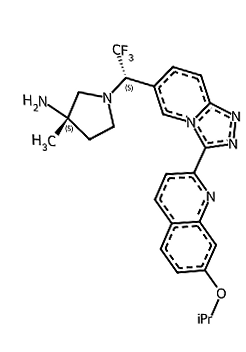 CC(C)Oc1ccc2ccc(-c3nnc4ccc([C@H](N5CC[C@](C)(N)C5)C(F)(F)F)cn34)nc2c1